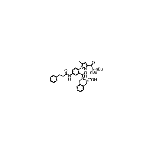 CCCCN(CCCC)C(=O)c1cc(C)n(-c2ccc(NC(=O)CCc3ccccc3)cc2C(O)N2Cc3ccccc3C[C@H]2CO)n1